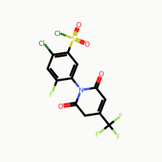 O=C1C=C(C(F)(F)F)CC(=O)N1c1cc(S(=O)(=O)Cl)c(Cl)cc1F